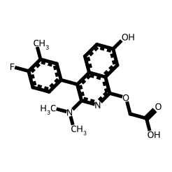 Cc1cc(-c2c(N(C)C)nc(OCC(=O)O)c3cc(O)ccc23)ccc1F